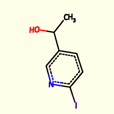 CC(O)c1ccc(I)nc1